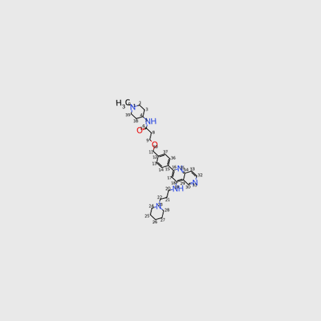 CN1CCC(NC(=O)CCOCc2ccc(-c3cc(NCCCN4CCCCC4)c4cnccc4n3)cc2)CC1